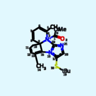 COC(=O)[N+]12C(C)=CC=CC13CC=CC(C)=C3n1c(SC(C)(C)C)cnc12